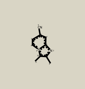 Cc1nc2cc(C#N)ccn2c1C